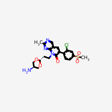 Cc1ncc2cc(-c3ccc(S(C)(=O)=O)cc3Cl)c(=O)n(CC[C@H]3OC[C@H](N)CO3)c2n1